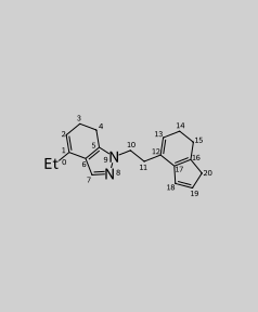 CCC1=CCCc2c1cnn2CCC1=CCCC2=C1C=CC2